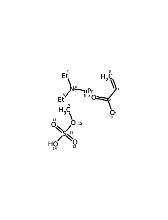 C=CC([O])=O.CCCN(CC)CC.COS(=O)(=O)O